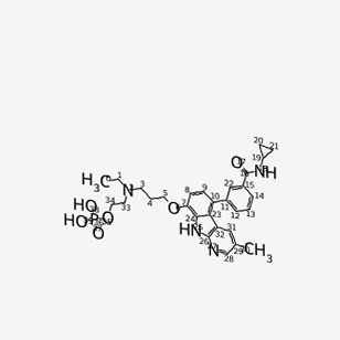 CCN(CCCOc1ccc(-c2cccc(C(=O)NC3CC3)c2)c2c1[nH]c1ncc(C)cc12)CCOP(=O)(O)O